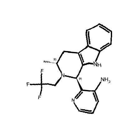 C[C@@H]1Cc2c([nH]c3ccccc23)[C@@H](c2ncccc2N)N1CC(F)(F)F